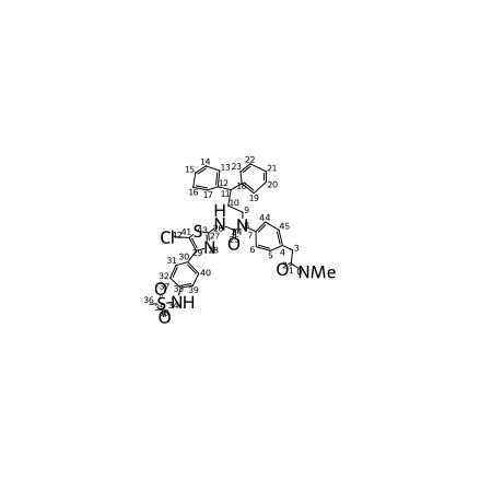 CNC(=O)Cc1ccc(N(CCC(c2ccccc2)c2ccccc2)C(=O)Nc2nc(-c3ccc(NS(C)(=O)=O)cc3)c(Cl)s2)cc1